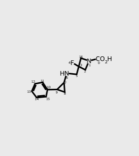 O=C(O)N1CC(F)(CNC2CC2c2ccccc2)C1